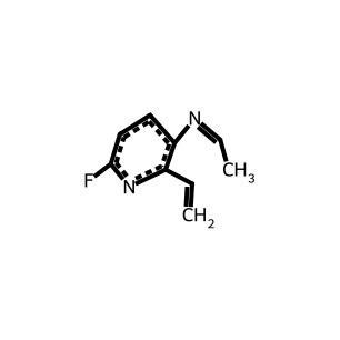 C=Cc1nc(F)ccc1/N=C\C